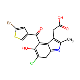 CC1=C(CC(=O)O)C2=C(C(=O)c3csc(Br)c3)C(O)=C(Cl)CC2=N1